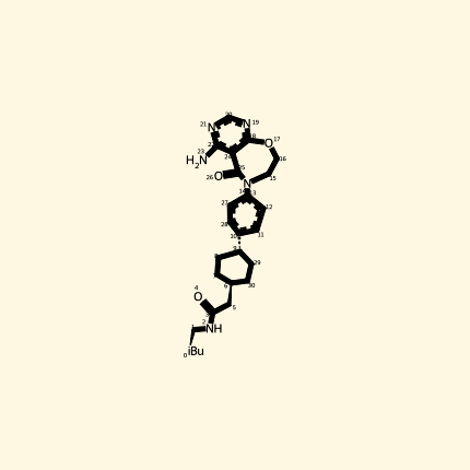 CC[C@H](C)CNC(=O)C[C@H]1CC[C@H](c2ccc(N3CCOc4ncnc(N)c4C3=O)cc2)CC1